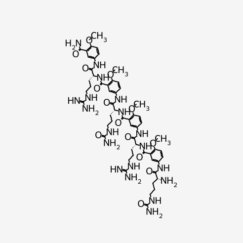 COc1ccc(NC(=O)[C@@H](CCCNC(=N)N)NC(=O)c2cc(NC(=O)[C@@H](CCCNC(N)=O)NC(=O)c3cc(NC(=O)[C@@H](CCCNC(=N)N)NC(=O)c4cc(NC(=O)[C@H](N)CCCNC(N)=O)ccc4OC)ccc3OC)ccc2OC)cc1C(N)=O